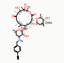 C#Cc1ccc(CN(C)[C@H]2C[C@@H](C)O[C@@H](O[C@@H]3[C@@H](C)[C@H](O[C@H]4C[C@@](C)(OC)[C@@H](O)[C@H](C)O4)[C@@H](C)C(=O)O[C@H](CC)[C@@](C)(O)[C@H](O)[C@@H](C)C(=O)C[C@@H](C)[C@@]3(C)OC)[C@H]2O)cc1